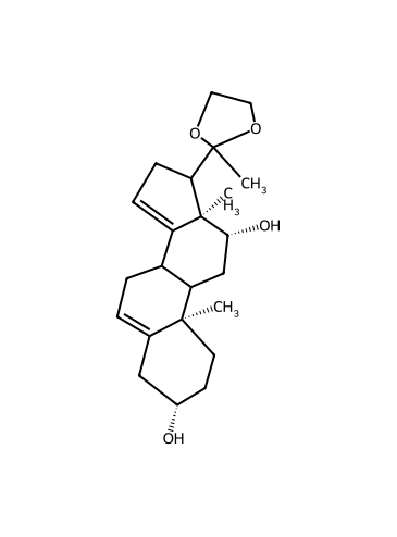 CC1(C2CC=C3C4CC=C5C[C@@H](O)CC[C@]5(C)C4C[C@@H](O)[C@@]32C)OCCO1